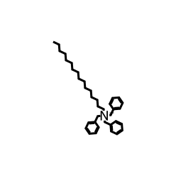 CCCCCCCCCCCCCCCC[N+](Cc1ccccc1)(Cc1ccccc1)Cc1ccccc1